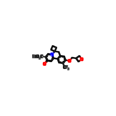 CCOC(=O)c1cn2c(cc1=O)-c1cc(C(F)(F)F)c(OCC3COC3)cc1CC21CCC1